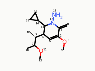 C=C1C(OC)=CC([C@@H](C)C(C)OC)C(C2CC2)N1N